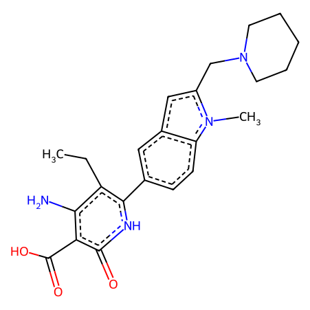 CCc1c(-c2ccc3c(c2)cc(CN2CCCCC2)n3C)[nH]c(=O)c(C(=O)O)c1N